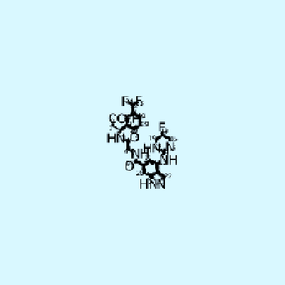 O=C(O)C[C@H](NC(=O)CNC(=O)c1cc(NC2=NCC(F)CN2)c2cn[nH]c2c1)c1cccc(C(F)F)c1